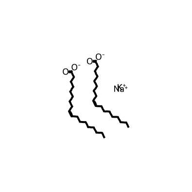 CCCCCCCC/C=C\CCCCCCCC(=O)[O-].CCCCCCCC/C=C\CCCCCCCC(=O)[O-].[K+].[Na+]